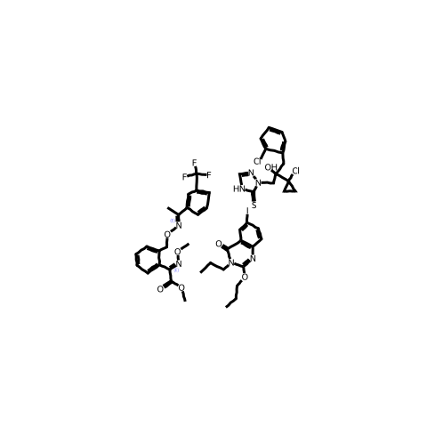 CCCOc1nc2ccc(I)cc2c(=O)n1CCC.CO/N=C(/C(=O)OC)c1ccccc1CO/N=C(\C)c1cccc(C(F)(F)F)c1.OC(Cc1ccccc1Cl)(Cn1nc[nH]c1=S)C1(Cl)CC1